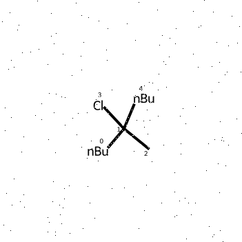 CCCCC(C)(Cl)CCCC